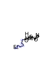 CC/C=C\C/C=C\C/C=C\C/C=C\C/C=C\C/C=C\CCC(=O)NCCSSC(C)(C)CNC1OC1c1cccnc1